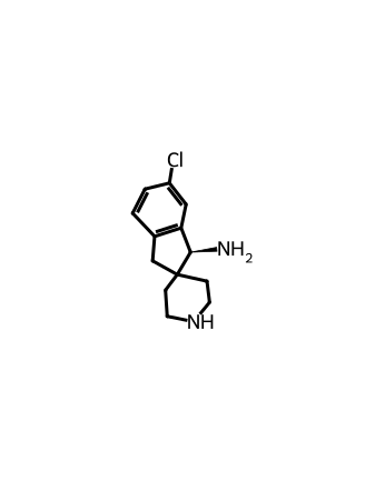 N[C@@H]1c2cc(Cl)ccc2CC12CCNCC2